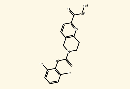 CCc1cccc(CC)c1NC(=O)N1CCc2nc(C(=O)NO)ccc2C1